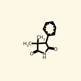 CC1(C)C(=O)NC(=O)C1c1ccccc1